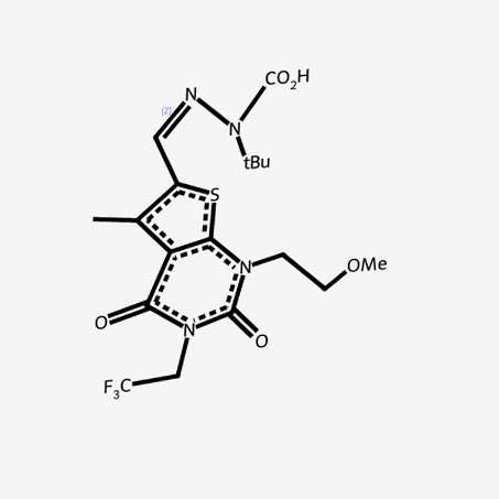 COCCn1c(=O)n(CC(F)(F)F)c(=O)c2c(C)c(/C=N\N(C(=O)O)C(C)(C)C)sc21